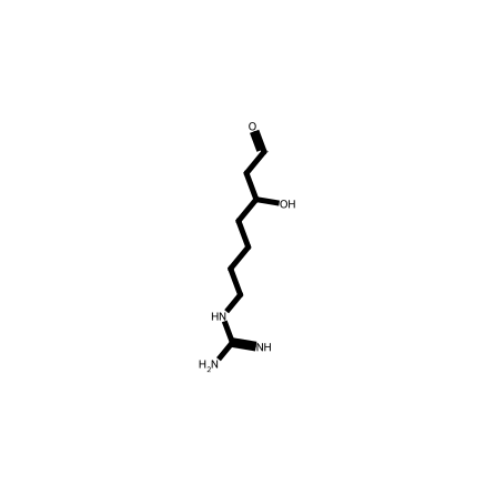 N=C(N)NCCCCC(O)C[C]=O